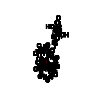 C[C@H](NC(=O)CCc1ccc(N2C(=O)C=CC2=O)c(F)c1OCCCC(=O)N(C)CC(=O)N(C)CC(=O)N(C)CC(=O)N(C)CC(=O)N(C)CC(=O)N(C)CC(=O)N(C)CC(=O)N(C)CC(=O)N(C)CC(=O)N(C)CC(=O)O)C(=O)N[C@@H](C)C(=O)Nc1cccc(Cc2ccc([C@@H]3O[C@@H]4C[C@H]5[C@@H]6CCC7=CC(=O)C=C[C@]7(C)[C@@]6(F)[C@@H](O)C[C@]5(C)[C@]4(C(=O)CO)O3)s2)c1